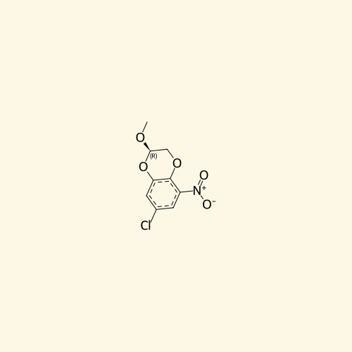 CO[C@H]1COc2c(cc(Cl)cc2[N+](=O)[O-])O1